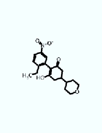 CCc1ccc([N+](=O)[O-])cc1C1=C(O)CC(C2CCOCC2)CC1=O